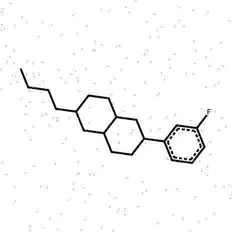 CCCCC1CCC2CC(c3cccc(F)c3)CCC2C1